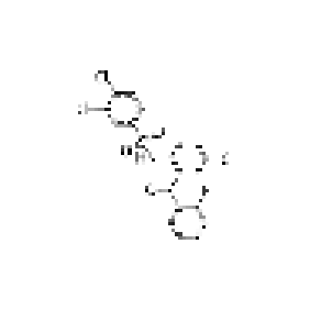 O=C(c1ccccc1F)c1cc(Cl)ccc1NS(=O)(=O)c1ccc(Cl)c(Cl)c1